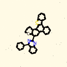 c1ccc(-c2nc(-c3cc4c5ccccc5c5c6ccccc6sc5c4c4ccccc34)nc3ccccc23)cc1